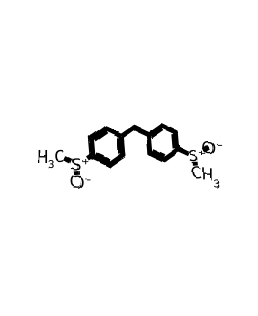 C[S+]([O-])c1ccc(Cc2ccc([S+](C)[O-])cc2)cc1